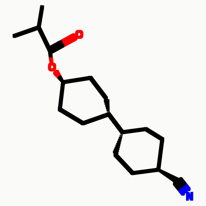 CC(C)C(=O)O[C@H]1CC[C@H]([C@H]2CC[C@H](C#N)CC2)CC1